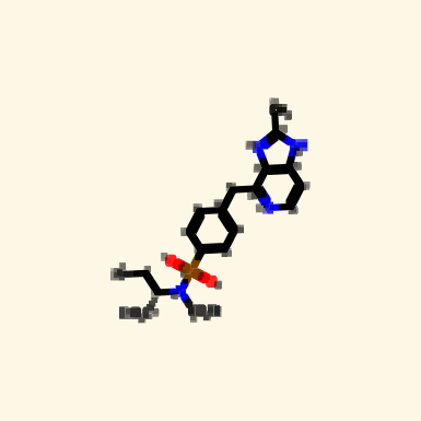 CCOC(=O)[C@H](CC(C)C)N(C(=O)OCC)S(=O)(=O)c1ccc(Cc2nccc3[nH]c(C)nc23)cc1